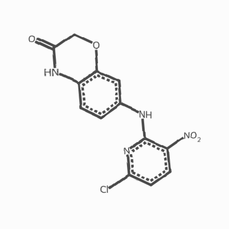 O=C1COc2cc(Nc3nc(Cl)ccc3[N+](=O)[O-])ccc2N1